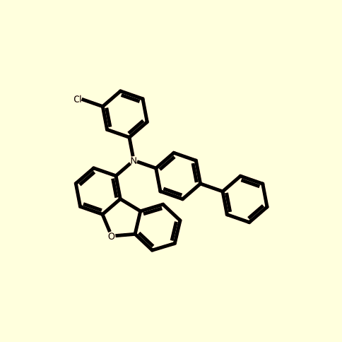 Clc1cccc(N(c2ccc(-c3ccccc3)cc2)c2cccc3oc4ccccc4c23)c1